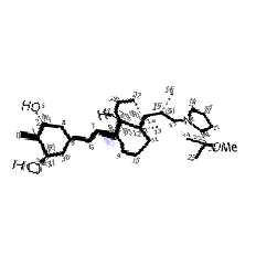 C=C1[C@H](O)CC(=C/C=C2\CCC[C@]3(C)[C@@H]([C@H](C)CN4CCC[C@@H]4C(C)(C)OC)CC[C@@H]23)C[C@H]1O